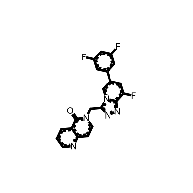 O=c1c2cccnc2ccn1Cc1nnc2c(F)cc(-c3cc(F)cc(F)c3)cn12